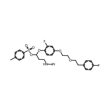 Cc1ccc(S(=O)(=O)OC(CCNC(C)C)Oc2ccc(OCCOCCc3ccc(F)cc3)cc2F)cc1